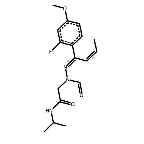 C/C=C\C(=N/N(C=O)CC(=O)NC(C)C)c1ccc(OC)cc1F